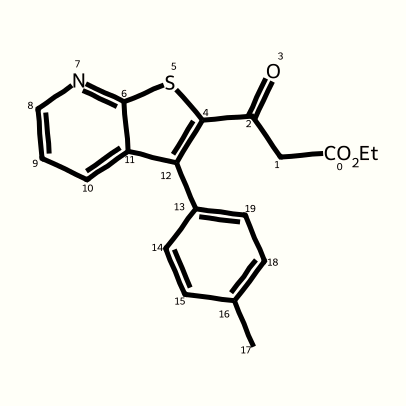 CCOC(=O)CC(=O)c1sc2ncccc2c1-c1ccc(C)cc1